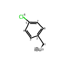 CC[C@H](C)Cc1ccc(Cl)cc1